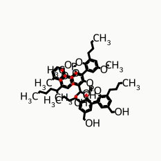 CCCCc1cc(OC)cc(-c2cc(OC)cc(C(C)CC)c2Op2oc3c(CCCC)cc(CO)cc3c3cc(CO)cc(CCCC)c3o2)c1OP(Oc1ccc(C)cc1)Oc1ccc(C(C)CCCC)cc1